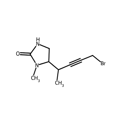 CC(C#CCBr)C1CNC(=O)N1C